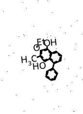 CCOc1c(C)c(O)c2c(-c3ccccc3)cccc2c1O